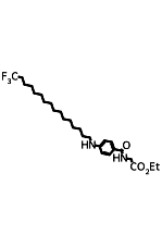 CCOC(=O)CNC(=O)c1ccc(NCCCCCCCCCCCCCCCC(F)(F)F)cc1